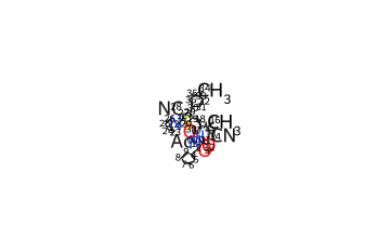 CC(=O)N(C(=O)c1ccccc1)N1C(=O)C(C#N)=C(C)/C(=C/c2sc(N3CCCC3)c(C#N)c2-c2ccc(C)cc2)C1=O